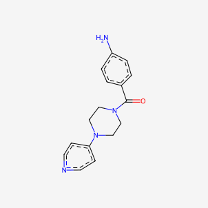 Nc1ccc(C(=O)N2CCN(c3ccncc3)CC2)cc1